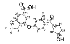 CC1(C)Cc2c(Oc3ccc(C(=O)N4CC[C@H](O)C4)c(F)c3)cc(C(=O)O)cc2O1